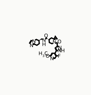 COc1cc(-c2cc(C(=O)N3CC[C@H](C(=O)NC[C@H]4CCc5nccn5C4)CC34CC4)n[nH]2)c(F)cn1